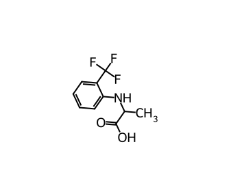 CC(Nc1ccccc1C(F)(F)F)C(=O)O